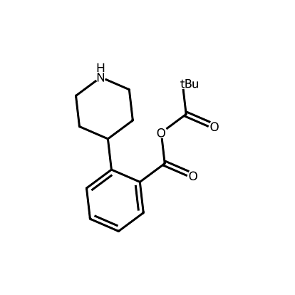 CC(C)(C)C(=O)OC(=O)c1ccccc1C1CCNCC1